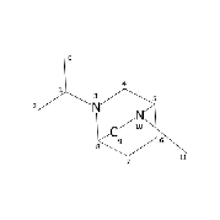 CC(C)N1CC2CCC1CN2C